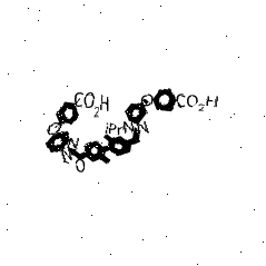 Cc1cc(Cc2nc3cc(O[C@H]4CC[C@@H](C(=O)O)CC4)ccc3n2C(C)C)ccc1-c1ccc(C(=O)c2nc3cc(O[C@H]4CC[C@@H](C(=O)O)CC4)ccc3n2C)cc1C